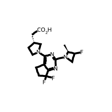 C[C@H]1C(F)CN1c1nc(N2CC[C@H](CC(=O)O)C2)c2c(n1)C(F)(F)CC2